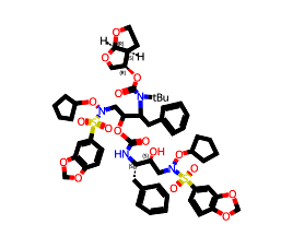 CC(C)(C)N(C(=O)O[C@H]1CO[C@H]2OCC[C@H]21)C(Cc1ccccc1)C(CN(OC1CCCC1)S(=O)(=O)c1ccc2c(c1)OCO2)OC(=O)N[C@@H](Cc1ccccc1)[C@@H](O)CN(OC1CCCC1)S(=O)(=O)c1ccc2c(c1)OCO2